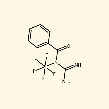 N=C(N)N(C(=O)c1ccccc1)S(F)(F)(F)(F)F